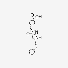 O=C(O)c1ccc(Cn2cnc3[nH]c(C#CCc4ccccc4)cc3c2=O)cc1